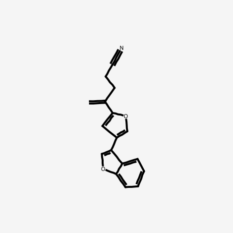 C=C(CCC#N)c1cc(-c2coc3ccccc23)co1